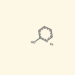 Oc1ccccn1.[Fe]